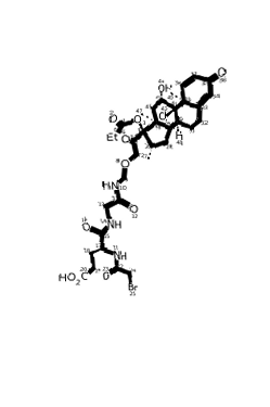 CCC(=O)O[C@]1(C(=O)COCNC(=O)CNC(=O)[C@H](CCC(=O)O)NC(=O)CBr)[C@@H](C)CC2[C@@H]3CCC4=CC(=O)C=C[C@]4(C)[C@@]3(Cl)[C@@H](O)C[C@@]21C